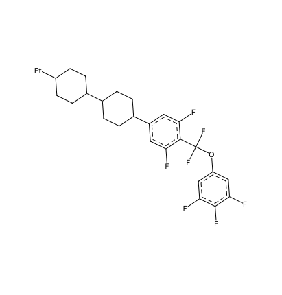 CCC1CCC(C2CCC(c3cc(F)c(C(F)(F)Oc4cc(F)c(F)c(F)c4)c(F)c3)CC2)CC1